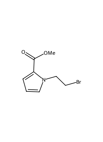 COC(=O)c1cccn1CCBr